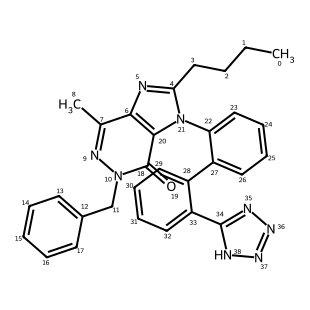 CCCCc1nc2c(C)nn(Cc3ccccc3)c(=O)c2n1-c1ccccc1-c1ccccc1-c1nnn[nH]1